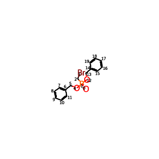 O=P(CBr)(OCc1ccccc1)OCc1ccccc1